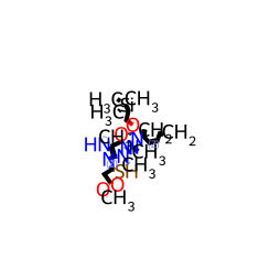 C=C/C=C\C(=C)N(COCC[Si](C)(C)C)N(C)n1c(=O)c(NC)c(/N=C(\S)CC(=O)OC)n1C